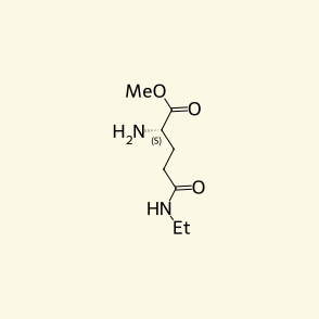 CCNC(=O)CC[C@H](N)C(=O)OC